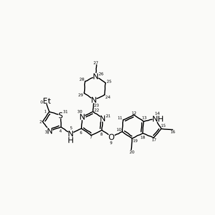 CCc1cnc(Nc2cc(Oc3ccc4[nH]c(C)cc4c3C)nc(N3CCN(C)CC3)n2)s1